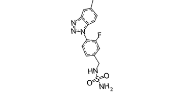 Cc1ccc2c(c1)nnn2-c1ccc(CNS(N)(=O)=O)cc1F